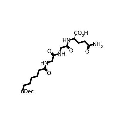 CCCCCCCCCCCCCCCC(=O)NCC(=O)NCC(=O)N[C@@H](CCC(N)=O)C(=O)O